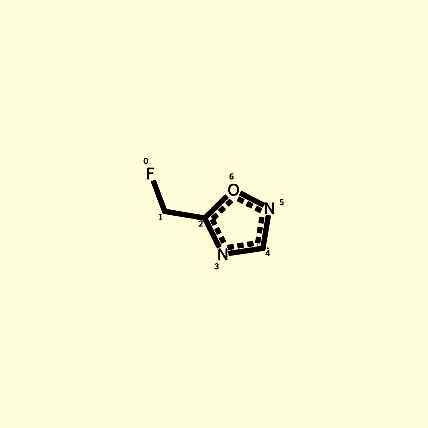 FCc1n[c]no1